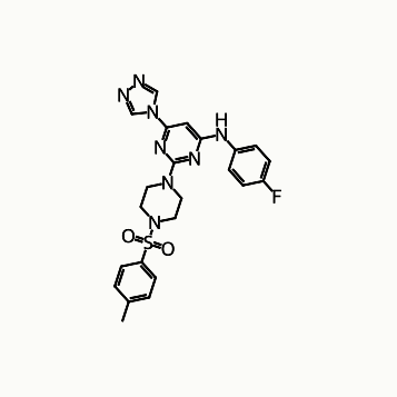 Cc1ccc(S(=O)(=O)N2CCN(c3nc(Nc4ccc(F)cc4)cc(-n4cnnc4)n3)CC2)cc1